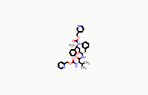 CC(C)[C@H](NC(=O)OCc1ccccn1)C(=O)N[C@@H](Cc1ccccc1)[C@@H](O)C[C@](C)(NC(=O)OCc1cccnc1)c1ccccc1